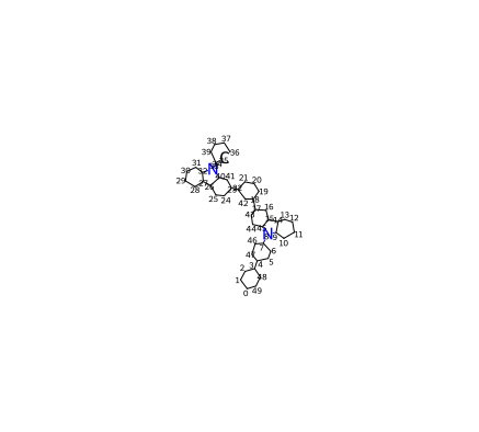 C1CCC(C2CCC(N3C4CCCCC4C4CC(C5CCCC(C6CCC7C8CCCCC8N(C8CCCCC8)C7C6)C5)CCC43)CC2)CC1